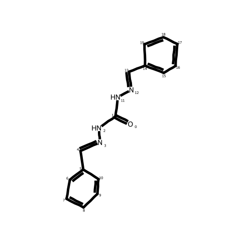 O=C(NN=Cc1ccccc1)NN=Cc1ccccc1